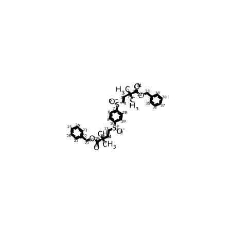 CC(C)(CC[S+]([O-])c1ccc([S+]([O-])CCC(C)(C)C(=O)OCc2ccccc2)cc1)C(=O)OCc1ccccc1